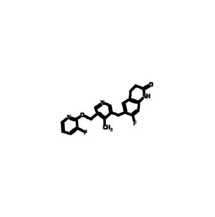 Cc1c(COc2ncccc2F)cncc1Cc1cc2c(cc1F)NC(=O)CC2